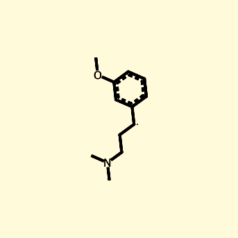 COc1cccc([CH]CCN(C)C)c1